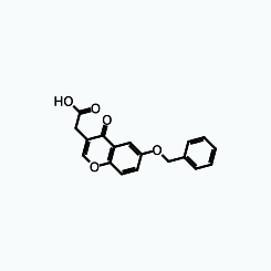 O=C(O)Cc1coc2ccc(OCc3ccccc3)cc2c1=O